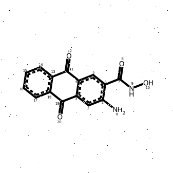 Nc1cc2c(cc1C(=O)NO)C(=O)c1ccccc1C2=O